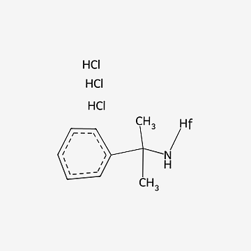 CC(C)([NH][Hf])c1ccccc1.Cl.Cl.Cl